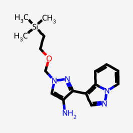 C[Si](C)(C)CCOCn1cc(N)c(-c2cnn3ccccc23)n1